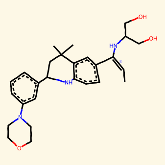 C/C=C(/NC(CO)CO)c1ccc2c(c1)C(C)(C)CC(c1cccc(N3CCOCC3)c1)N2